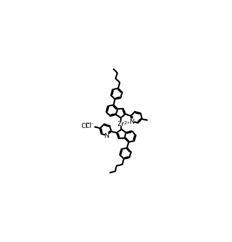 CCCCc1ccc(-c2cccc3c2C=C(c2ccc(C)cn2)[CH]3[Zr+2][CH]2C(c3ccc(C)cn3)=Cc3c(-c4ccc(CCCC)cc4)cccc32)cc1.[Cl-].[Cl-]